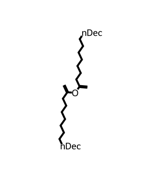 C=C(CCCCCCCCCCCCCCCCC)OC(=C)CCCCCCCCCCCCCCCCC